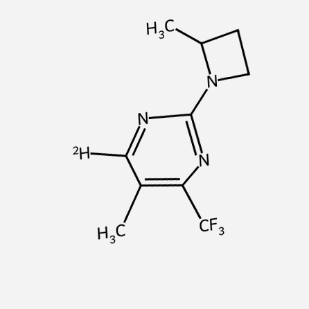 [2H]c1nc(N2CCC2C)nc(C(F)(F)F)c1C